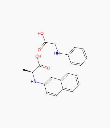 C[C@H](Nc1ccc2ccccc2c1)C(=O)O.O=C(O)CNc1ccccc1